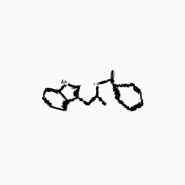 CC(Cc1c[nH]c2ccccc12)NC(C)c1ccccc1